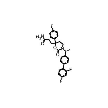 C[C@@H](c1ccc(-c2ccc(F)cc2F)cc1)N1CCC(CCC(N)=O)(c2ccc(F)cc2)OC1=O